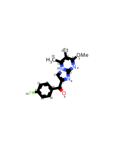 CCc1c(OC)nc2nc(C(=O)c3ccc(F)cc3)cn2c1C